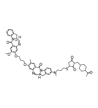 COc1cc2c(cc1OCCCOc1cc3c(cc1C)C(=O)N1c4ccc(N(C)CCCSC5CC(=O)C(CC6CCC(C(C)=O)CC6)C5=O)cc4C[C@H]1C=N3)N=C[C@@H]1Cc3ccccc3N1C2=O